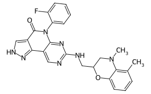 Cc1cccc2c1N(C)CC(CNc1ncc3c4n[nH]cc4c(=O)n(-c4ccccc4F)c3n1)O2